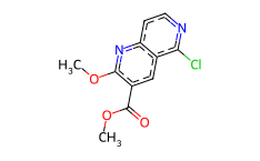 COC(=O)c1cc2c(Cl)nccc2nc1OC